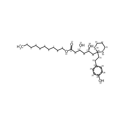 CCCCCCCCCCOC(=O)C[C@H](O)C[C@@H](O)CC1(CCc2ccc(O)cc2)SCCCS1